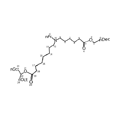 CCCCCCCCCCCOC(=O)CCCCCN(CCC)CCCCCCCC(=O)OC(CCCCCCCC)CCCCCCCC